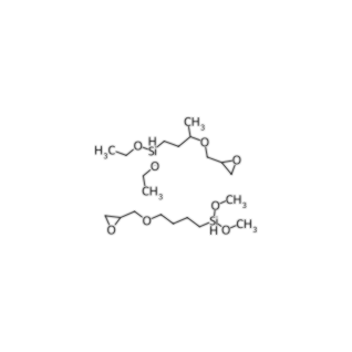 CCO[SiH](CCC(C)OCC1CO1)OCC.CO[SiH](CCCCOCC1CO1)OC